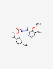 COc1ccc([C@@H](C)[C@@H](C)OC(=O)[C@H](C)NC(=O)c2nccc(OC)c2OCOC(C)=O)c(C)c1